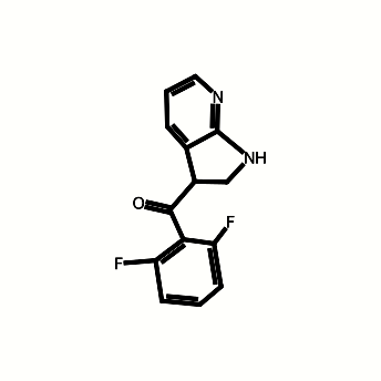 O=C(c1c(F)cccc1F)C1CNc2ncccc21